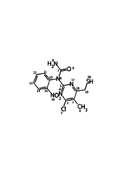 Cc1c(Cl)nc(N(C(N)=O)c2ccccc2[N+](=O)[O-])nc1CS